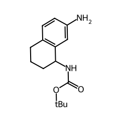 CC(C)(C)OC(=O)NC1CCCc2ccc(N)cc21